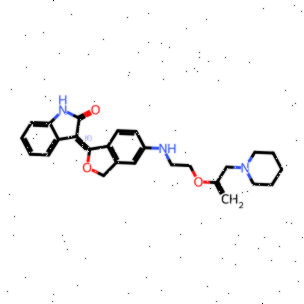 C=C(CN1CCCCC1)OCCNc1ccc2c(c1)CO/C2=C1/C(=O)Nc2ccccc21